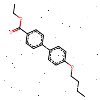 CCCCOc1ccc(-c2ccc(C(=O)OCC)cc2)cc1